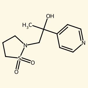 CC(O)(CN1CCCS1(=O)=O)c1ccncc1